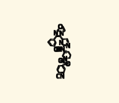 N#Cc1ccc(S(=O)(=O)N2CCC[C@@H](Nc3nccc(-c4c(-c5cccc(Cl)c5)nc5occn45)n3)C2)cc1